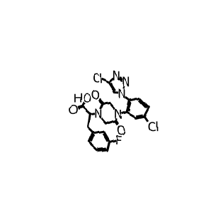 O=C(O)C(Cc1cccc(F)c1)N1CC(=O)N(c2cc(Cl)ccc2-n2cc(Cl)nn2)CC1=O